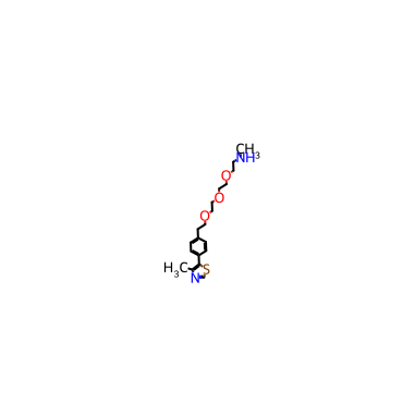 CNCCOCCOCCOCCc1ccc(-c2scnc2C)cc1